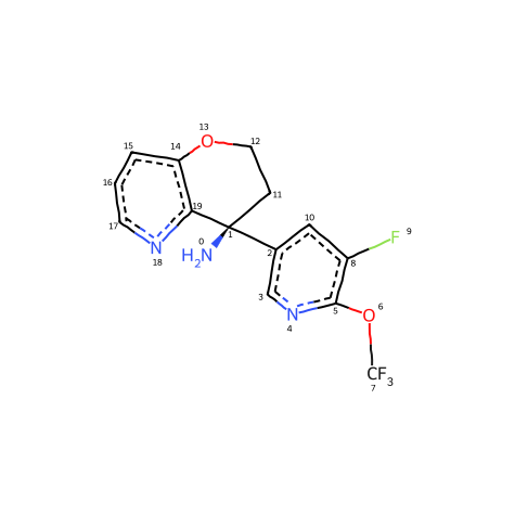 N[C@]1(c2cnc(OC(F)(F)F)c(F)c2)CCOc2cccnc21